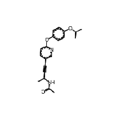 CC(=O)NC(C)C#Cc1ccc(Oc2ccc(OC(C)C)cc2)nc1